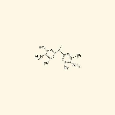 CC(C)c1cc(C(C)c2cc(C(C)C)c(N)c(C(C)C)c2)cc(C(C)C)c1N